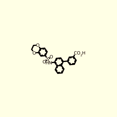 O=C(O)c1cccc(-c2ccc(NS(=O)(=O)c3ccc4c(c3)OCCO4)c3ccccc23)c1